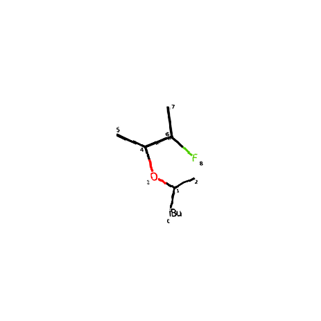 CCC(C)C(C)OC(C)C(C)F